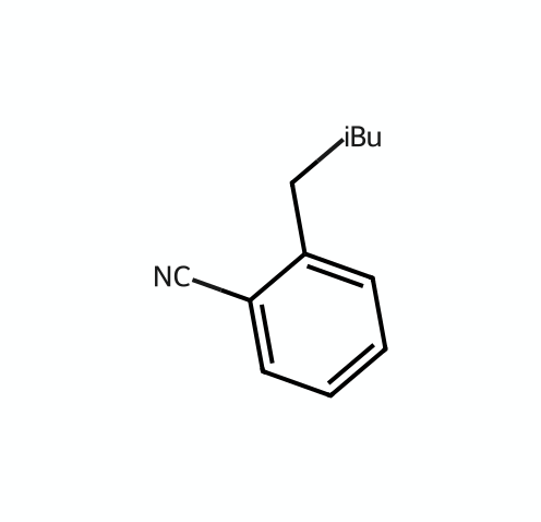 CCC(C)Cc1ccccc1C#N